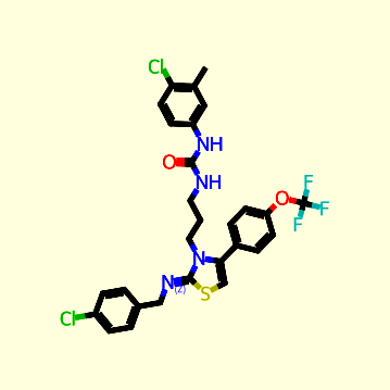 Cc1cc(NC(=O)NCCCn2c(-c3ccc(OC(F)(F)F)cc3)cs/c2=N\Cc2ccc(Cl)cc2)ccc1Cl